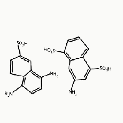 Nc1cc(S(=O)(=O)O)c2cccc(S(=O)(=O)O)c2c1.Nc1ccc(N)c2cc(S(=O)(=O)O)ccc12